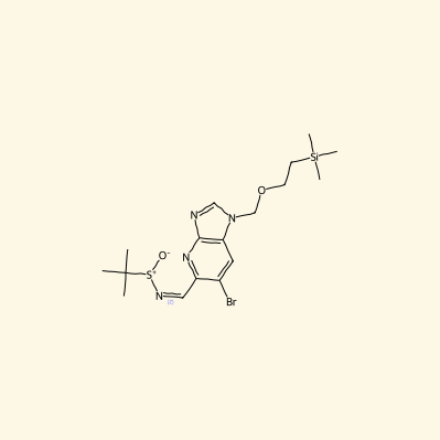 CC(C)(C)[S+]([O-])/N=C\c1nc2ncn(COCC[Si](C)(C)C)c2cc1Br